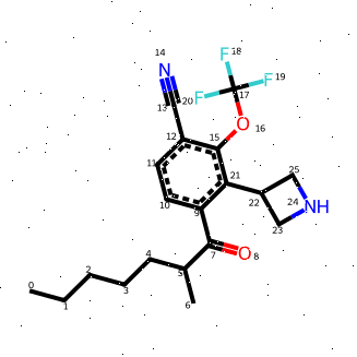 CCCCCC(C)C(=O)c1ccc(C#N)c(OC(F)(F)F)c1C1CNC1